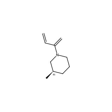 C=CC(=C)N1CCC[C@@H](C)C1